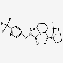 O=C(C1C(C(F)(F)F)CCc2nn(Cc3ccc(C(F)(F)F)nc3)c(=O)n21)N1CCCC1